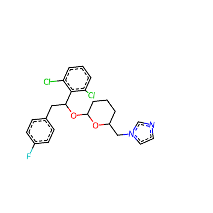 Fc1ccc(CC(OC2CCCC(Cn3ccnc3)O2)c2c(Cl)cccc2Cl)cc1